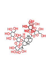 C=C(C)[C@]1(OC2OC(CO)C(O)C(OC3OC(CO)C(O)C(O)C3O)C2OC2OC(CO)C(O)C(O)C2O)CC[C@@H]2[C@@](C)(CC[C@H]3[C@@]2(C)CCC[C@@]3(C)C(=O)OC2OC(CO)C(O)C(OC3OC(CO)C(O)C(O)C3O)C2OC2OC(CO)C(O)C(O)C2O)C1